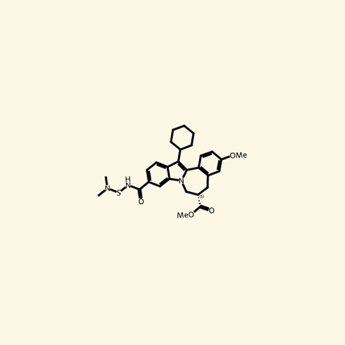 COC(=O)[C@H]1Cc2cc(OC)ccc2-c2c(C3CCCCC3)c3ccc(C(=O)NSN(C)C)cc3n2C1